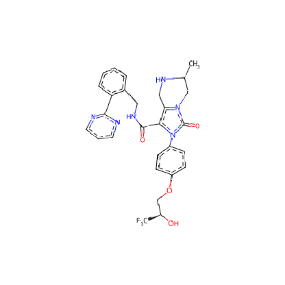 CC1Cn2c(c(C(=O)NCc3ccccc3-c3ncccn3)n(-c3ccc(OC[C@@H](O)C(F)(F)F)cc3)c2=O)CN1